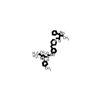 Cc1ccc(-n2nc(C(C)(C)C)cc2NC(=O)Nc2cccc(CC3CCN(CC(=O)c4c(-c5ccccc5)noc4C)CC3)c2)cc1